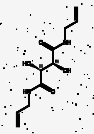 C=CCNC(=O)[C@@H](O)[C@@H](O)C(=O)NCC=C